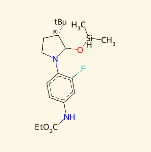 CCOC(=O)Nc1ccc(N2CC[C@H](C(C)(C)C)C2O[SiH](C)C)c(F)c1